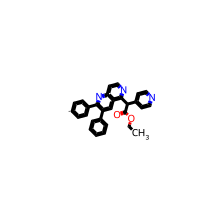 CCOC(=O)C(c1ccncc1)c1nccc2nc(-c3cc[c]cc3)c(-c3ccccc3)cc12